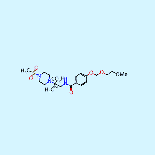 COCCOCOc1ccc(C(=O)NC[C@@](C)(C(=O)O)N2CCN(S(C)(=O)=O)CC2)cc1